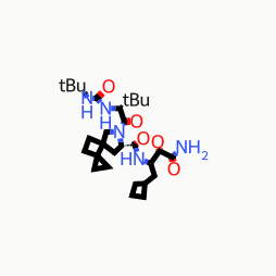 CC(C)(C)NC(=O)N[C@H](C(=O)N1CC2(CCC23CC3)C[C@H]1C(=O)NC(CC1CCC1)C(=O)C(N)=O)C(C)(C)C